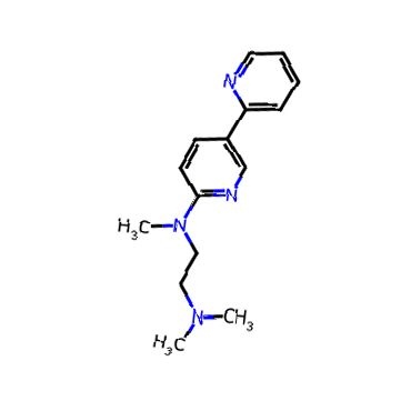 CN(C)CCN(C)c1ccc(-c2ccccn2)cn1